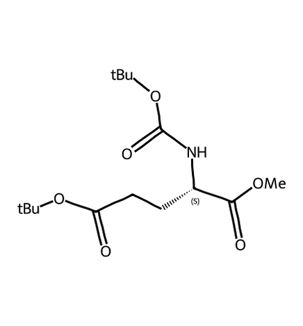 COC(=O)[C@H](CCC(=O)OC(C)(C)C)NC(=O)OC(C)(C)C